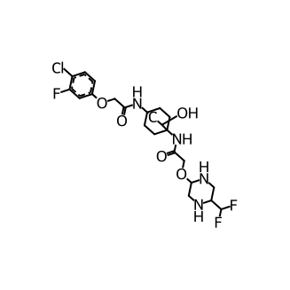 O=C(COc1ccc(Cl)c(F)c1)NC12CCC(NC(=O)COC3CNC(C(F)F)CN3)(CC1)C(O)C2